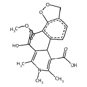 COC(=O)c1c(C2C(C(=O)O)=C(C)N(C)C(C)=C2C(=O)O)ccc2c1OOC2